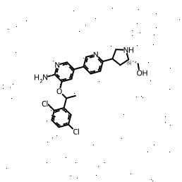 CC(Oc1cc(-c2ccc(C3CN[C@H](CO)C3)nc2)cnc1N)c1cc(Cl)ccc1Cl